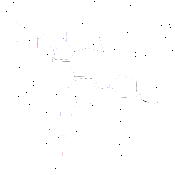 CN[C@@H]1CCN(c2cc(-c3cn[nH]c3C3CC3)nc(N)n2)C1.O=C(O)C(F)(F)F.O=C(O)C(F)(F)F